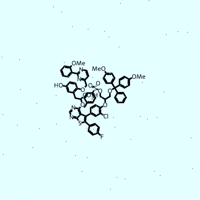 COc1ccc(C(OCC(COS(=O)(=O)c2ccc(C)cc2)Oc2ccc(-c3c(-c4ccc(F)cc4)sc4ncnc(OC(Cc5cc(O)ccc5OCc5ccnc(-c6ccccc6OC)n5)C(=O)O)c34)cc2Cl)(c2ccccc2)c2ccc(OC)cc2)cc1